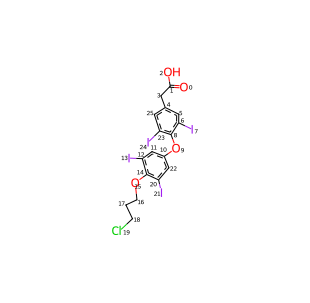 O=C(O)Cc1cc(I)c(Oc2cc(I)c(OCCCCl)c(I)c2)c(I)c1